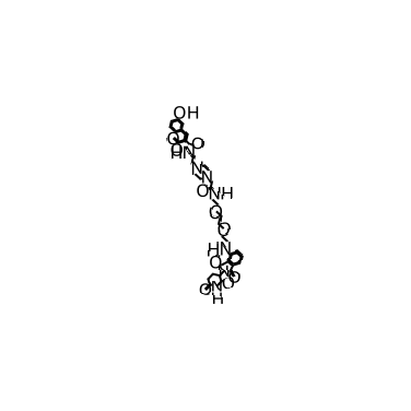 O=C(CN1CCN(CCNC(=O)c2cc3cc(O)ccc3oc2=O)CC1)NCCOCCOCCNc1cccc2c1C(=O)N(C1CCC(=O)NC1=O)C2=O